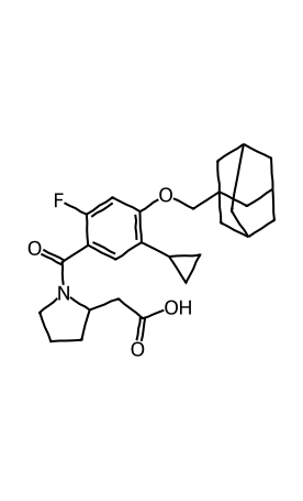 O=C(O)CC1CCCN1C(=O)c1cc(C2CC2)c(OCC23CC4CC(CC(C4)C2)C3)cc1F